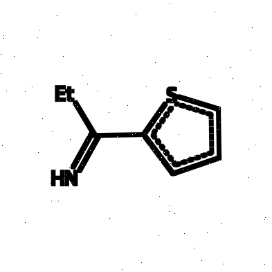 CCC(=N)c1cccs1